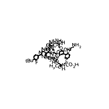 Cc1nc(-c2ccc(C(C)(C)C)c(F)c2)nc(N)c1C(=O)N[C@@H](CNS(N)(=O)=O)C(=O)N(C)[C@@H]1C(=O)N[C@@H](C)C(=O)N[C@H](C(=O)O)Cc2ccc(OCCCN)c(c2)-c2cc1cc(OC[C@H](O)CN)c2O